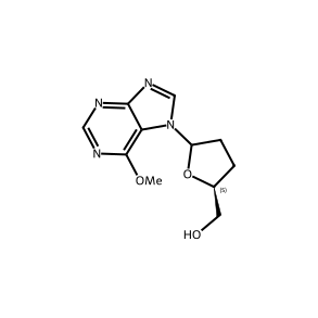 COc1ncnc2ncn(C3CC[C@@H](CO)O3)c12